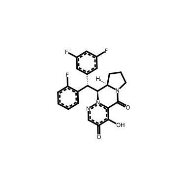 O=C1c2c(O)c(=O)cnn2[C@@H]([C@@H](c2cc(F)cc(F)c2)c2ccccc2F)[C@H]2CCCN12